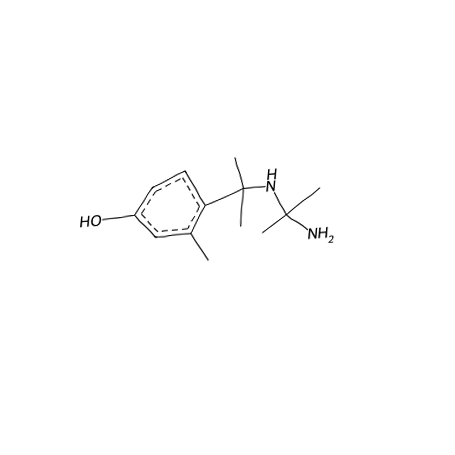 Cc1cc(O)ccc1C(C)(C)NC(C)(C)N